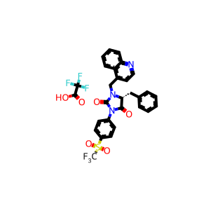 O=C(O)C(F)(F)F.O=C1[C@@H](Cc2ccccc2)N(Cc2ccnc3ccccc23)C(=O)N1c1ccc(S(=O)(=O)C(F)(F)F)cc1